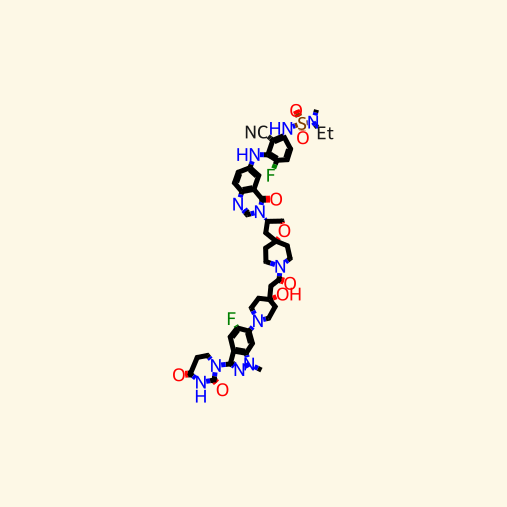 CCN(C)S(=O)(=O)Nc1ccc(F)c(Nc2ccc3ncn([C@H]4COC5(CCN(C(=O)CC6(O)CCN(c7cc8c(cc7F)c(N7CCC(=O)NC7=O)nn8C)CC6)CC5)C4)c(=O)c3c2)c1C#N